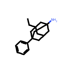 CCC12CC3CC(N)(C1)CC(c1ccccc1)(C3)C2